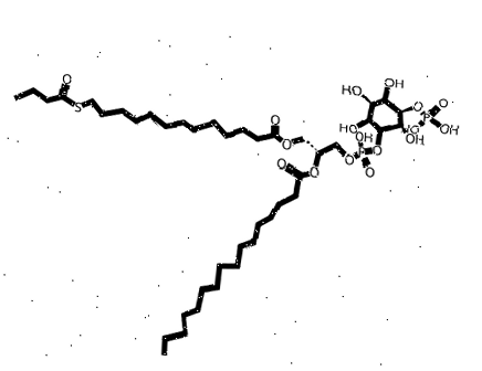 CCCCCCCCCCCCCCCC(=O)O[C@H](COC(=O)CCCCCCCCCCCCSC(=O)CCC)COP(=O)(O)OC1C(O)[C@@H](O)C(O)[C@@H](OP(=O)(O)O)[C@H]1O